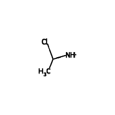 CC([NH])Cl